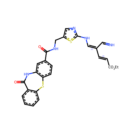 CCOC(=O)/C=C/C(C=N)=C/Nc1ncc(CNC(=O)c2ccc3c(c2)NC(=O)c2ccccc2S3)s1